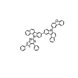 c1ccc(-c2cc3nc(-n4c5ccc(-c6ccc7c(c6)c6c8ccccc8ccc6n7-c6ccc7oc8ccccc8c7c6)cc5c5ccc6ccccc6c54)nc(-c4ccccc4)c3s2)cc1